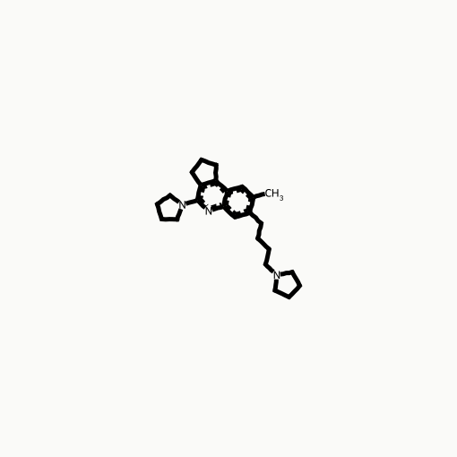 Cc1cc2c3c(c(N4CCCC4)nc2cc1CCCCN1CCCC1)CCC3